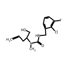 C=CCC(CO)N(C)C(=O)NCc1cccc(F)c1Cl